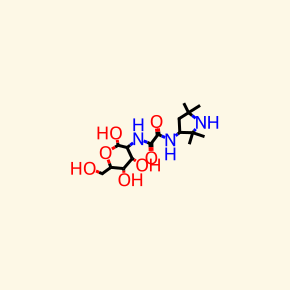 CC1(C)CC(NC(=O)C(=O)NC2C(O)OC(CO)C(O)C2O)C(C)(C)N1